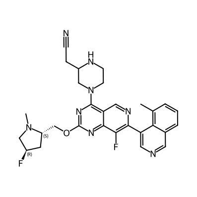 Cc1cccc2cncc(-c3ncc4c(N5CCNC(CC#N)C5)nc(OC[C@@H]5C[C@@H](F)CN5C)nc4c3F)c12